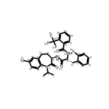 CC(C)N1C(=O)[C@H](NC(=O)[C@@H](Cc2ccccc2F)NC(=O)c2ccccc2C(F)(F)F)CCc2cc(Cl)ccc21